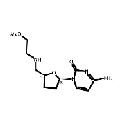 COCCNC[C@@H]1CC[C@H](n2ccc(N)nc2=O)O1